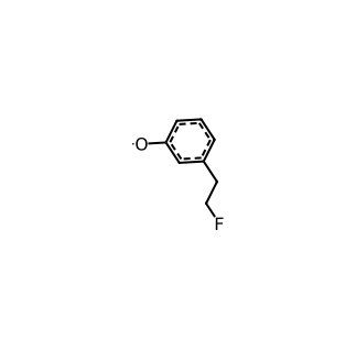 [O]c1cccc(CCF)c1